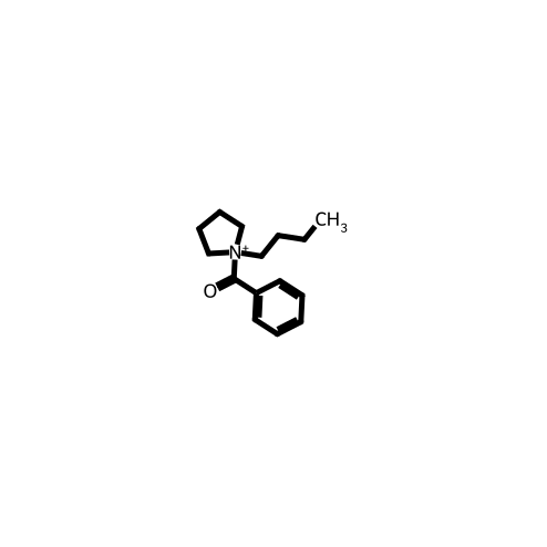 CCCC[N+]1(C(=O)c2ccccc2)CCCC1